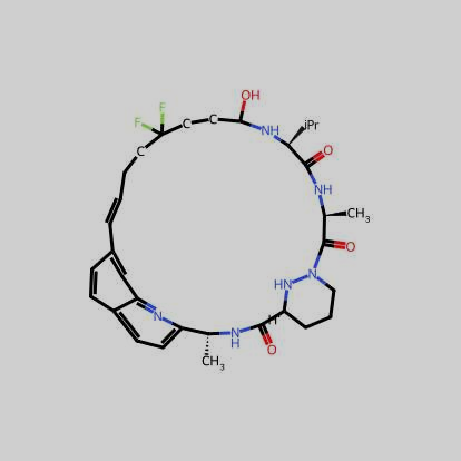 CC(C)[C@@H]1NC(O)CCC(F)(F)CC/C=C/c2ccc3ccc(nc3c2)[C@@H](C)NC(=O)[C@@H]2CCCN(N2)C(=O)[C@H](C)NC1=O